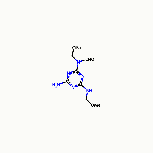 COCNc1nc(N)nc(N(C=O)COCC(C)C)n1